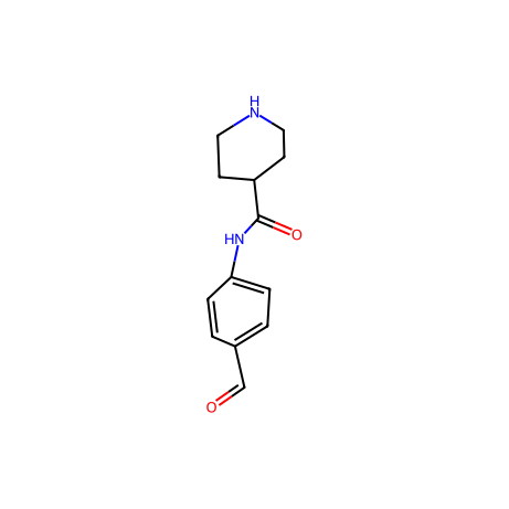 O=Cc1ccc(NC(=O)C2CCNCC2)cc1